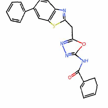 O=C(Nc1nnc(Cc2nc3ccc(-c4ccccc4)cc3s2)o1)C1=CC=CCC1